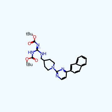 CC(C)(C)OC(=O)/N=C(/NCC1CCN(c2nccc(-c3ccc4ccccc4c3)n2)CC1)NC(=O)OC(C)(C)C